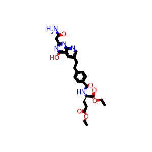 CCOC(=O)CC[C@@H](NC(=O)c1ccc(CCc2cnc3nc(CC(N)=O)nc(O)c3c2)cc1)C(=O)OCC